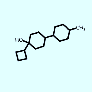 CC1CCC(C2CCC(O)(C3CCC3)CC2)CC1